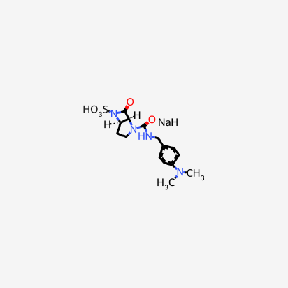 CN(C)c1ccc(CNC(=O)N2CC[C@@H]3[C@H]2C(=O)N3S(=O)(=O)O)cc1.[NaH]